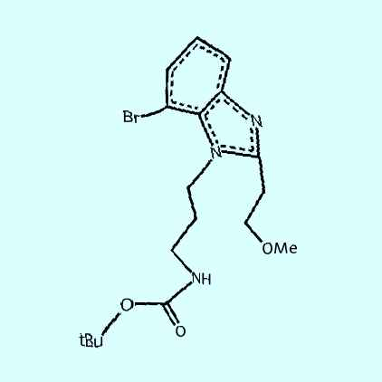 COCCc1nc2cccc(Br)c2n1CCCNC(=O)OC(C)(C)C